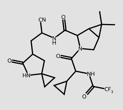 CC1(C)C2CN(C(=O)C(NC(=O)C(F)(F)F)C3CC3)C(C(=O)NC(C#N)CC3CC4(CC4)NC3=O)C21